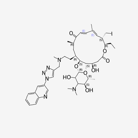 CC[C@H]1OC(=O)C[C@@H](O)[C@H](C)[C@@H](O[C@@H]2O[C@H](C)[C@@H](O)C(N(C)C)C2O)[C@@H](CCN(C)Cc2cn(-c3cnc4ccccc4c3)nn2)C[C@@H](C)C(=O)/C=C/C(C)=C/[C@@H]1CI